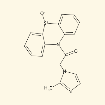 Cc1nccn1CC(=O)N1c2ccccc2[S+]([O-])c2ccccc21